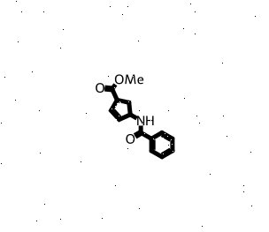 COC(=O)C1C=CC(NC(=O)c2ccccc2)C1